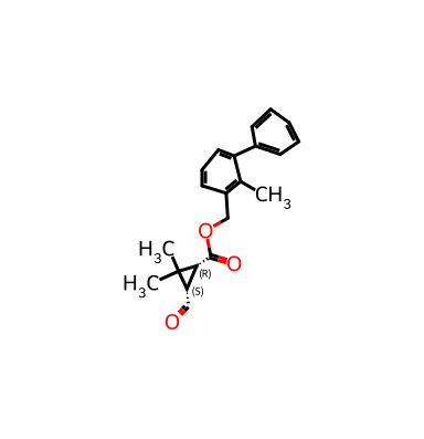 Cc1c(COC(=O)[C@@H]2[C@H](C=O)C2(C)C)cccc1-c1ccccc1